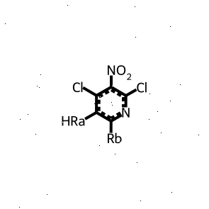 O=[N+]([O-])c1c(Cl)n[c]([Rb])[c]([RaH])c1Cl